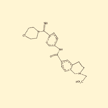 N=C(c1ccc(NC(=O)c2ccc3c(c2)CCN(CC(=O)O)C3)cc1)N1CCOCC1